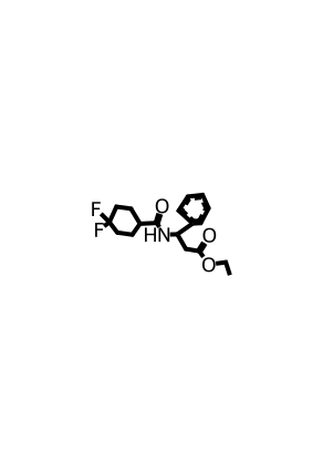 CCOC(=O)CC(NC(=O)C1CCC(F)(F)CC1)c1ccccc1